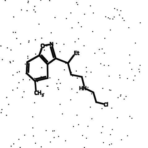 CCC(CCNCCCl)c1noc2ccc(C)cc12